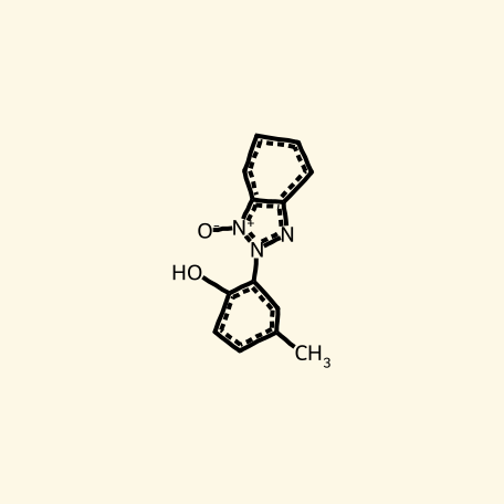 Cc1ccc(O)c(-n2nc3ccccc3[n+]2[O-])c1